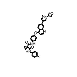 O=C(Nc1ccc(F)cc1)C1(C(=O)Nc2ccc(Oc3ccnc4cc(-c5cnn(C6COC6)c5)ccc34)cc2)CC1